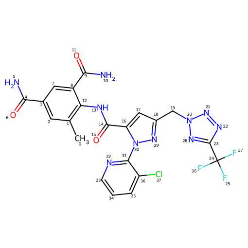 Cc1cc(C(N)=O)cc(C(N)=O)c1NC(=O)c1cc(Cn2nnc(C(F)(F)F)n2)nn1-c1ncccc1Cl